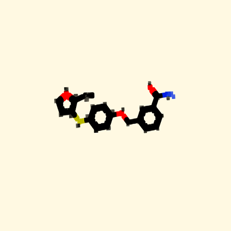 NC(=O)c1cccc(COc2ccc(Sc3ccoc3C=O)cc2)c1